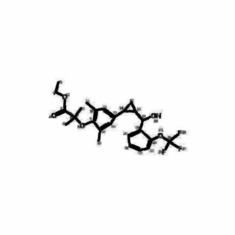 CCOC(=O)C(C)(C)Oc1c(C)cc(C2CC2C(O)c2ccccc2OC(F)(F)F)cc1C